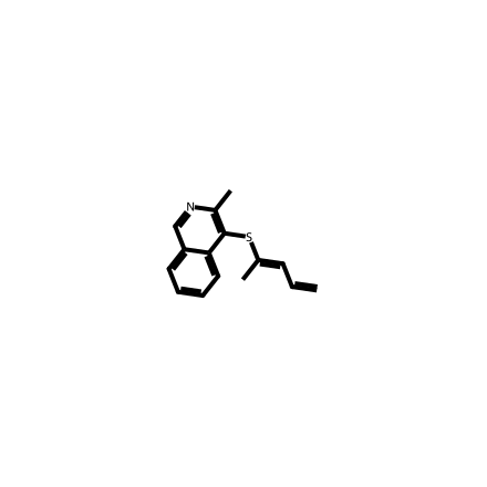 C=C/C=C(\C)Sc1c(C)ncc2ccccc12